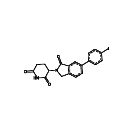 O=C1CCC(N2Cc3ccc(-c4ccc(I)cc4)cc3C2=O)C(=O)N1